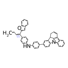 C=C/C=C(/c1ccc(Nc2ccc(-c3ccc4c(c3)C3CC=Cc5c3n-4c3ccccc53)cc2)cc1)c1cc2ccccc2o1